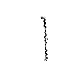 SCCCCCCCCCCOCCCCCCCCCCS